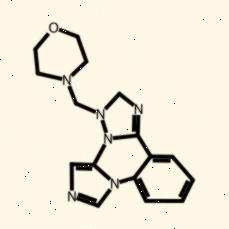 c1ccc2c(c1)C1=NCN(CN3CCOCC3)N1c1cncn1-2